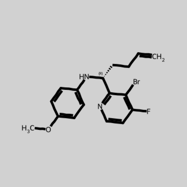 C=CCC[C@@H](Nc1ccc(OC)cc1)c1nccc(F)c1Br